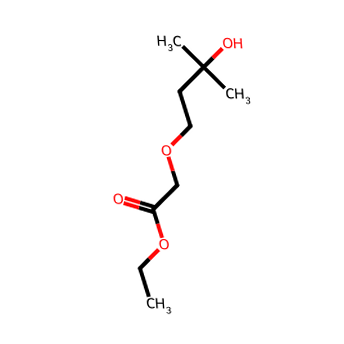 CCOC(=O)COCCC(C)(C)O